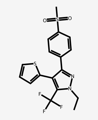 CCn1nc(-c2ccc(S(C)(=O)=O)cc2)c(-c2cccs2)c1C(F)(F)F